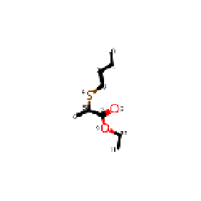 CCCCSC(C)C(=O)OCC